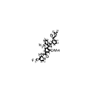 COc1cc(C(=O)Nc2cc(C(F)(F)F)ccn2)ccc1-c1nc([C@@H]2CCCN(C(=O)CN(C)C)C2)n2ccnc(N)c12